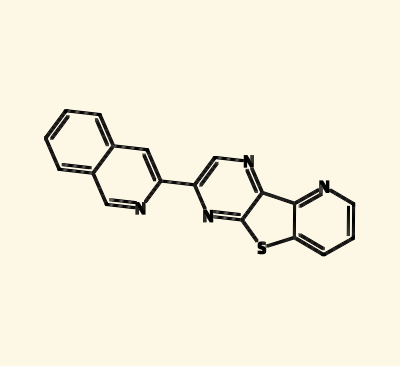 c1ccc2cc(-c3cnc4c(n3)sc3cccnc34)ncc2c1